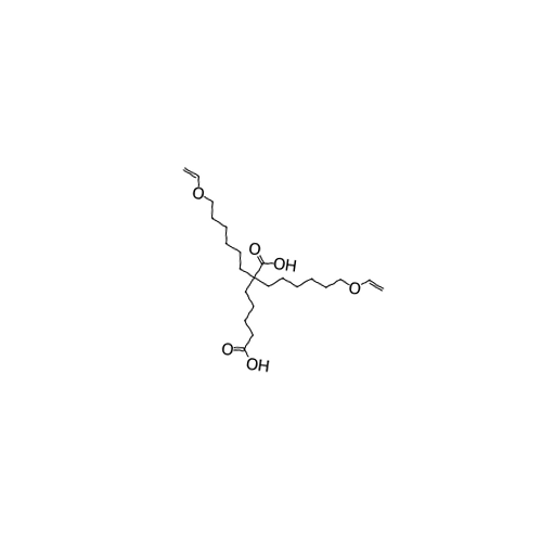 C=COCCCCCCC(CCCCCCOC=C)(CCCCC(=O)O)C(=O)O